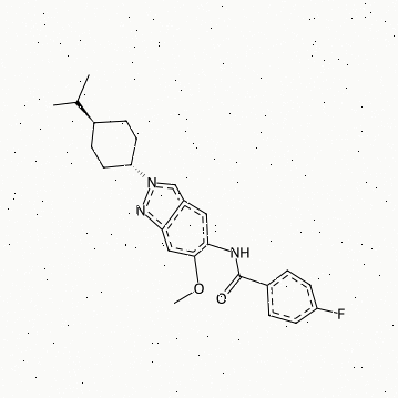 COc1cc2nn([C@H]3CC[C@H](C(C)C)CC3)cc2cc1NC(=O)c1ccc(F)cc1